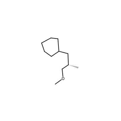 COC[C@@H](C)CC1CCCCC1